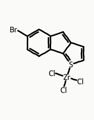 [Cl][Zr]([Cl])([Cl])[S]1=C2C(=Cc3cc(Br)ccc32)C=C1